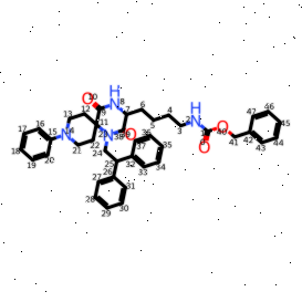 O=C(NCCCCC1NC(=O)C2(CCN(c3ccccc3)CC2)N(CC(c2ccccc2)c2ccccc2)C1=O)OCc1ccccc1